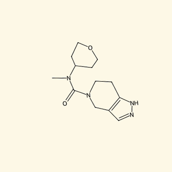 CN(C(=O)N1CCc2[nH]ncc2C1)C1CCOCC1